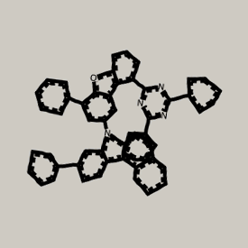 c1ccc(-c2ccc3c4c5ccccc5ccc4n(-c4cc(-c5ccccc5)c5oc6cccc(-c7nc(-c8ccccc8)nc(-c8ccccc8)n7)c6c5c4)c3c2)cc1